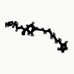 O=C(O)CCC(=O)c1ccc(CCCCCCCn2ccnc2)cc1